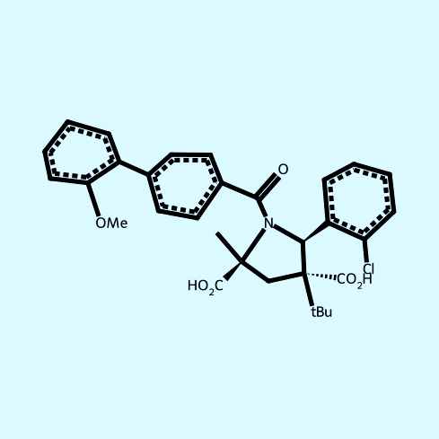 COc1ccccc1-c1ccc(C(=O)N2[C@@H](c3ccccc3Cl)[C@@](C(=O)O)(C(C)(C)C)C[C@@]2(C)C(=O)O)cc1